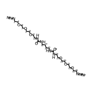 [N-]=[N+]=NCCOCCOCCOCCNC(=O)NCCCCNC(=O)NCCOCCOCCOCCN=[N+]=[N-]